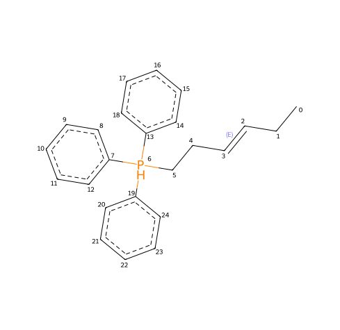 CC/C=C/CC[PH](c1ccccc1)(c1ccccc1)c1ccccc1